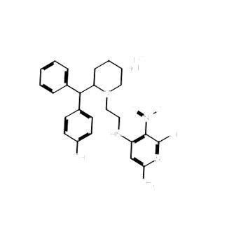 Cc1cc(NCCN2CCCCC2C(c2ccccc2)c2ccc(O)cc2)c([N+](=O)[O-])c(C)n1.Cl.Cl